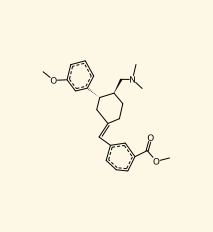 COC(=O)c1cccc(/C=C2\CC[C@H](CN(C)C)[C@@H](c3cccc(OC)c3)C2)c1